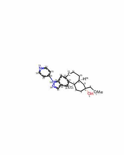 CC[C@@]12CC[C@](O)(COC)C[C@@H]1CCCc1cc3c(cnn3-c3ccncc3)cc12